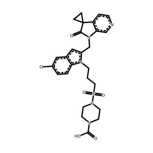 O=C(O)N1CCN(S(=O)(=O)CCCn2c(CN3C(=O)C4(CC4)c4ccncc43)cc3cc(Cl)ccc32)CC1